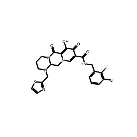 O=C(NCc1cccc(Cl)c1F)c1cn2c(c(O)c1=O)C(=O)N1CCCN(Cc3nccs3)C1C2